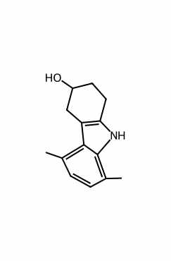 Cc1ccc(C)c2c3c([nH]c12)CCC(O)C3